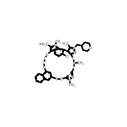 Cc1c2c(nn1CC1CCOCC1)CN(C)Cc1cc(n(C)n1)CSc1cc(c3ccccc3c1)OCCCc1c(C(=O)O)n(C)c3c-2c(Cl)ccc13